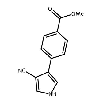 COC(=O)c1ccc(-c2c[nH]cc2C#N)cc1